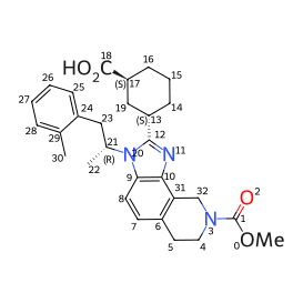 COC(=O)N1CCc2ccc3c(nc([C@H]4CCC[C@H](C(=O)O)C4)n3[C@H](C)Cc3ccccc3C)c2C1